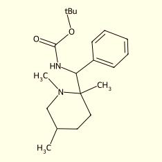 CC1CCC(C)(C(NC(=O)OC(C)(C)C)c2ccccc2)N(C)C1